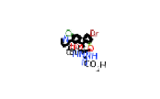 Cc1cccnc1-c1cc([C@@](O)(C[C@@]2(CC(C)(C)C)NC(=NC(=O)O)NC2=O)c2ccc(Br)cc2F)ccc1Cl